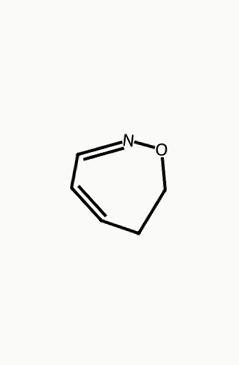 C1=CCCON=C1